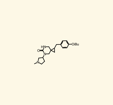 CC(C)COc1ccc(CC2CC23CNC(=O)N(C2CCN(C)C2)C3)cc1